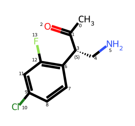 CC(=O)[C@H](CN)c1ccc(Cl)cc1F